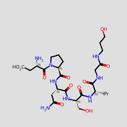 CC(C)[C@H](NC(=O)[C@H](CO)NC(=O)[C@H](CC(N)=O)NC(=O)[C@@H]1CCCN1C(=O)[C@@H](N)CC(=O)O)C(=O)NCC(=O)NCCCO